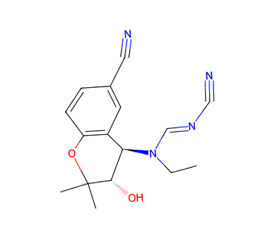 CCN(C=NC#N)[C@@H]1c2cc(C#N)ccc2OC(C)(C)[C@H]1O